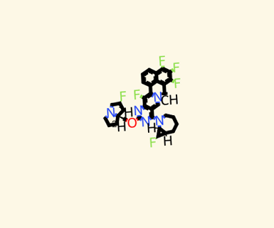 [2H]C([2H])(Oc1nc(N2CCCC[C@H]3[C@H](F)[C@H]32)c2cnc(-c3cccc4c(F)c(F)c(F)c(C#C)c34)c(F)c2n1)[C@@]12CCCN1C[C@H](F)C2